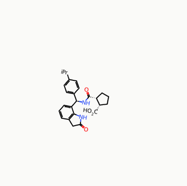 CC(C)c1ccc([C@@H](NC(=O)[C@@H]2CCC[C@@H]2C(=O)O)c2cccc3c2NC(=O)C3)cc1